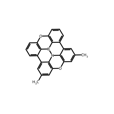 Cc1cc2c3c(c1)-c1cccc4c1B1c5c(cccc5-c5cc(C)cc(c5N13)O2)O4